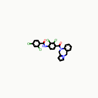 O=C(Nc1ccc(C(=O)N2Cc3cccn3Cc3ccccc32)c(Cl)c1Cl)c1ccc(Cl)cc1Cl